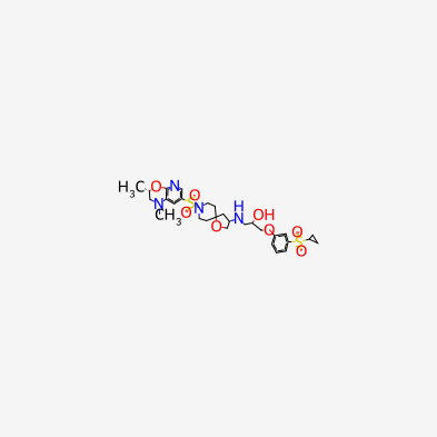 C[C@H]1CN(C)c2cc(S(=O)(=O)N3CCC4(CC3)C[C@@H](NCC(O)COc3cccc(S(=O)(=O)C5CC5)c3)CO4)cnc2O1